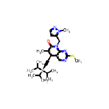 CSc1ncc2c(C#C[Si](C(C)C)(C(C)C)C(C)C)c(C)c(=O)n(Cc3ccnn3C)c2n1